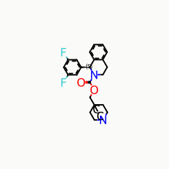 O=C(OCC12CCN(CC1)CC2)N1CCc2ccccc2[C@@H]1c1cc(F)cc(F)c1